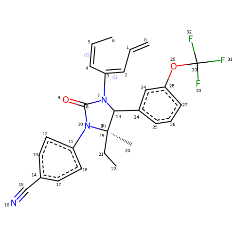 C=C/C=C(\C=C/C)N1C(=O)N(c2ccc(C#N)cc2)[C@](C)(CC)C1c1cccc(OC(F)(F)F)c1